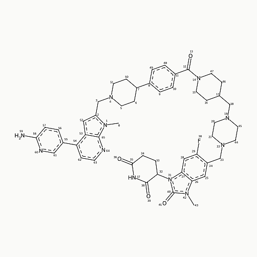 Cn1c(CN2CCC(c3ccc(C(=O)N4CCC(CN5CCN(Cc6cc7c(cc6F)n(C6CCC(=O)NC6=O)c(=O)n7C)CC5)CC4)cc3)CC2)cc2c(-c3ccc(N)nc3)ccnc21